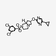 O=S(=O)(c1cc(Cl)cc(Cl)c1)N1CCN2C[C@H](Oc3cnc(C4CC4)cn3)C[C@H]2C1